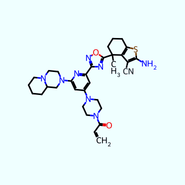 C=CC(=O)N1CCN(c2cc(-c3noc(C4(C)CCCc5sc(N)c(C#N)c54)n3)nc(N3CCN4CCCCC4C3)c2)CC1